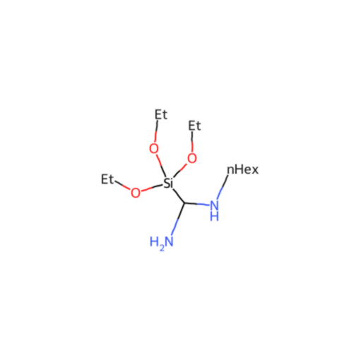 CCCCCCNC(N)[Si](OCC)(OCC)OCC